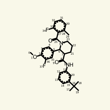 COc1ccc(C2C(C(=O)Nc3cccc(C(C)(C)C)c3)CCCN2C(=O)c2c(C)cccc2F)cc1F